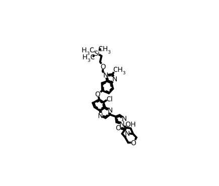 Cc1nc2ccc(Oc3ccc4ncc(-c5cnn(C6CC7COCC(C6)N7C(=O)O)c5)nc4c3Cl)cc2n1COCC[Si](C)(C)C